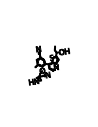 CCC(O)c1cc2nccc(-c3cc(C#N)cc(C)c3OCC3(C#N)CNC3)c2s1